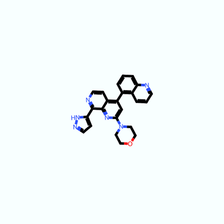 c1cc(-c2cc(N3CCOCC3)nc3c(-c4ccn[nH]4)nccc23)c2cccnc2c1